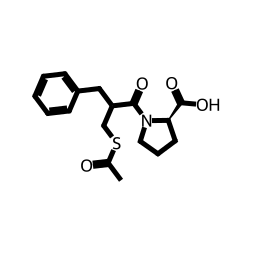 CC(=O)SCC(Cc1ccccc1)C(=O)N1CCC[C@@H]1C(=O)O